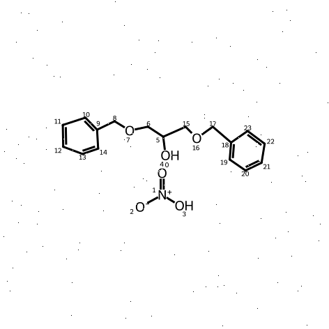 O=[N+]([O-])O.OC(COCc1ccccc1)COCc1ccccc1